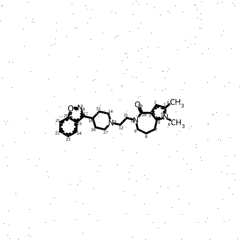 Cc1cc2c(n1C)CCCN(CCN1CCC(c3noc4ccccc34)CC1)C2=O